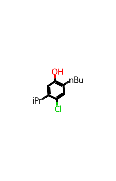 CCCCc1cc(Cl)c(C(C)C)cc1O